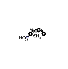 COc1cc(/C=C/C(=O)O)ccc1C(=O)NCC1CCN(Cc2ccccc2)CC1